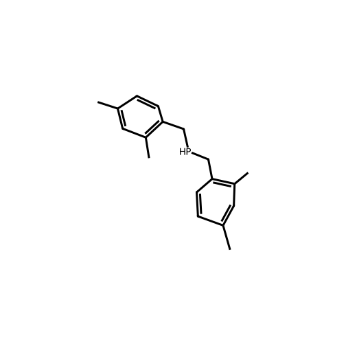 Cc1ccc(CPCc2ccc(C)cc2C)c(C)c1